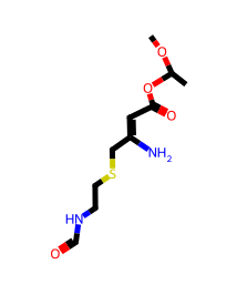 COC(C)OC(=O)C=C(N)CSCCNC=O